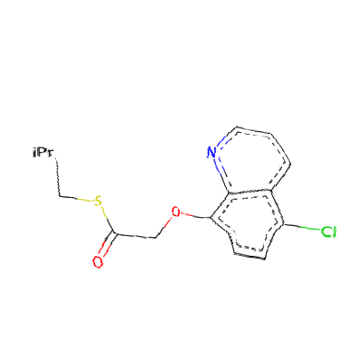 CC(C)CSC(=O)COc1ccc(Cl)c2cccnc12